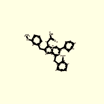 COc1cccc(Cc2nc3c(Cc4ccccc4F)nc(-c4ccccc4)cn3c2CC(=O)O)c1